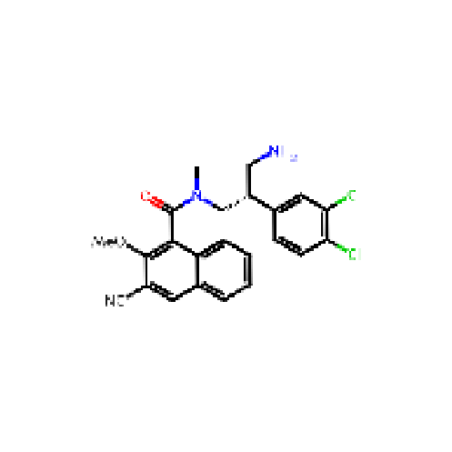 COc1c(C#N)cc2ccccc2c1C(=O)N(C)C[C@H](CN)c1ccc(Cl)c(Cl)c1